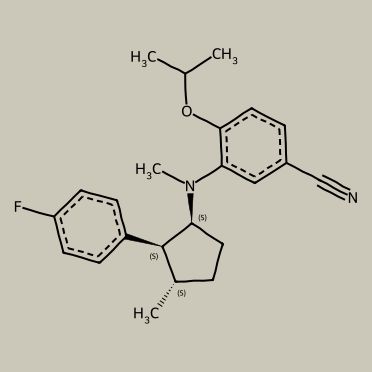 CC(C)Oc1ccc(C#N)cc1N(C)[C@H]1CC[C@H](C)[C@H]1c1ccc(F)cc1